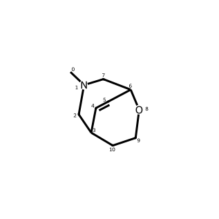 CN1CC2C=CC(C1)OCC2